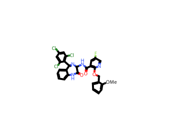 COc1ccccc1COc1ncc(F)cc1C(=O)NC1N=C(c2c(Cl)cc(Cl)cc2Cl)c2ccccc2NC1=O